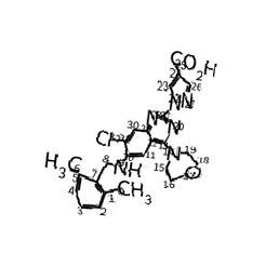 Cc1cccc(C)c1CNc1cc2c(N3CCOCC3)nc(-n3cc(C(=O)O)cn3)nc2cc1Cl